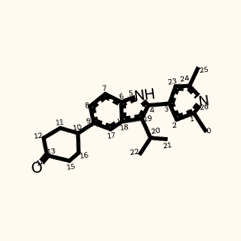 Cc1cc(-c2[nH]c3ccc(C4CCC(=O)CC4)cc3c2C(C)C)cc(C)n1